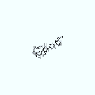 CCOc1cncc(-c2ccc(C(=O)N[C@@H](COC)c3cc(NS(=O)(=O)C4CC4)ccn3)cc2)n1